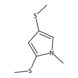 CSc1cc(SC)n(C)c1